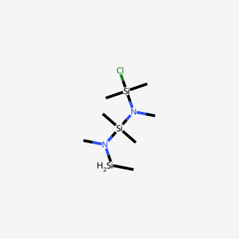 C[SiH2]N(C)[Si](C)(C)N(C)[Si](C)(C)Cl